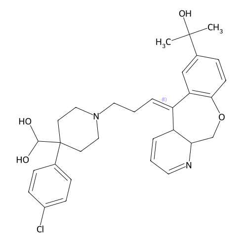 CC(C)(O)c1ccc2c(c1)/C(=C/CCN1CCC(c3ccc(Cl)cc3)(C(O)O)CC1)C1C=CC=NC1CO2